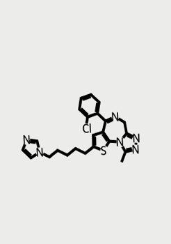 Cc1nnc2n1-c1sc(CCCCCn3ccnc3)cc1C(c1ccccc1Cl)=NC2